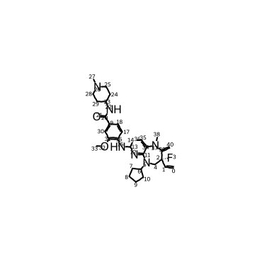 C=C[C@@]1(F)CN(C2CCCC2)C(=N/C(C)Nc2ccc(C(=O)NC3CCN(C)CC3)cc2OC)/C(=C\C)N(C)C1=C